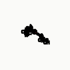 COc1nc(C(=O)O)cc2ccc(C#CC34CCC(OCc5c(-c6c(Cl)cncc6Cl)noc5C5CC5)(CC3)CC4)cc12